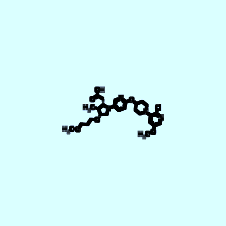 COCCCO[C@H]1CN(c2ccc(OC3CCN(c4cc(OC)cnc4Cl)CC3)nc2)[C@@H](CC(=O)O)[C@@H]1C